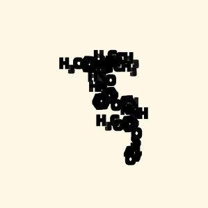 COc1cc(Nc2nccc(Oc3ccc(NC(=O)Nc4cc([Si](C)(C)C)nn4-c4ccc(C)cc4)c4ccccc34)n2)cc(OCCN2CCOCC2)c1